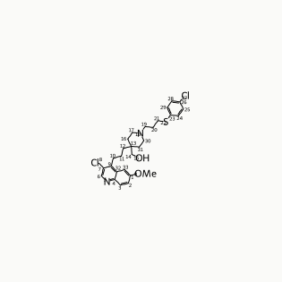 COc1ccc2ncc(Cl)c(CCCC3(CO)CCN(CCCSc4ccc(Cl)cc4)CC3)c2c1